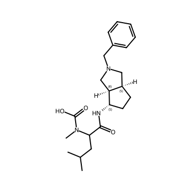 CC(C)CC(C(=O)N[C@H]1CC[C@@H]2CN(Cc3ccccc3)C[C@@H]21)N(C)C(=O)O